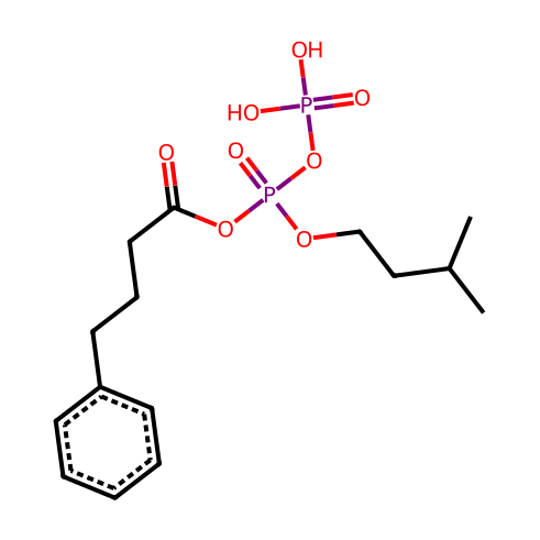 CC(C)CCOP(=O)(OC(=O)CCCc1ccccc1)OP(=O)(O)O